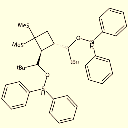 CSC1(SC)C[C@H](C(O[SiH](c2ccccc2)c2ccccc2)C(C)(C)C)[C@H]1C(O[SiH](c1ccccc1)c1ccccc1)C(C)(C)C